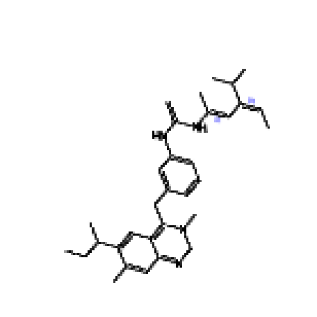 C=C(N/C(C)=C/C(=C\C)C(C)C)Nc1cccc(CC2=c3cc(C(C)CC)c(C)cc3=NCN2C)c1